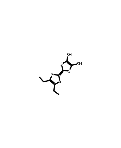 CCC1=C(CC)SC(=C2SC(S)=C(S)S2)S1